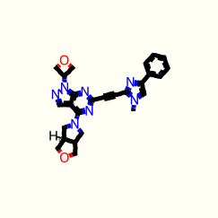 Cn1cc(-c2ccccc2)nc1C#Cc1nc(N2CC3COC[C@H]3C2)c2cnn(C3COC3)c2n1